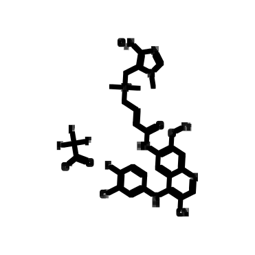 CCOc1cc2ncc(C#N)c(Nc3ccc(F)c(Cl)c3)c2cc1NC(=O)/C=C/C[N+](C)(C)Cc1c([N+](=O)[O-])ncn1C.O=C([O-])C(F)(F)F